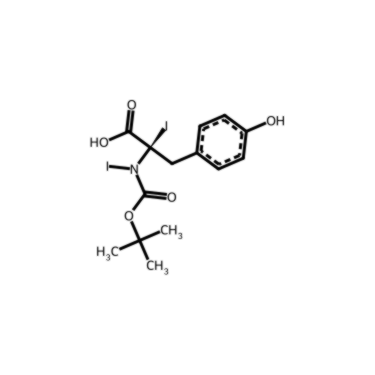 CC(C)(C)OC(=O)N(I)[C@@](I)(Cc1ccc(O)cc1)C(=O)O